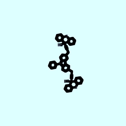 OC1(C#CCc2ccc3c(c2)c2cc(CC#CC4(O)c5ccccc5Sc5ccccc54)ccc2n3-c2ccccc2)c2ccccc2Sc2ccccc21